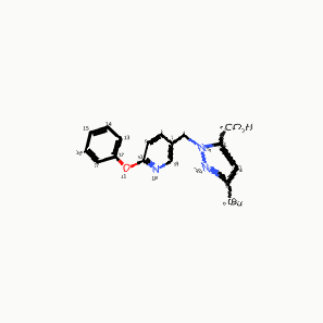 CC(C)(C)c1cc(C(=O)O)n(Cc2ccc(Oc3ccccc3)nc2)n1